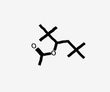 CC(=O)OC(CC(C)(C)C)C(C)(C)C